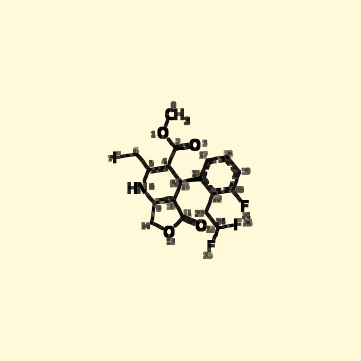 COC(=O)C1=C(CF)NC2=C(C(=O)OC2)[C@@H]1c1cccc(F)c1CC(F)F